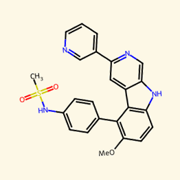 COc1ccc2[nH]c3cnc(-c4cccnc4)cc3c2c1-c1ccc(NS(C)(=O)=O)cc1